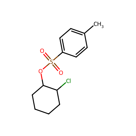 Cc1ccc(S(=O)(=O)OC2CCCCC2Cl)cc1